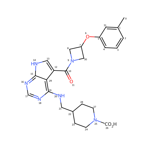 Cc1cccc(OC2CN(C(=O)c3c[nH]c4ncnc(NCC5CCN(C(=O)O)CC5)c34)C2)c1